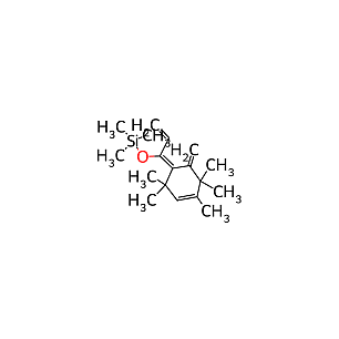 C=CC(O[Si](C)(C)C)=C1C(=C)C(C)(C)C(C)=CC1(C)C